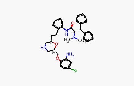 CN(C(=O)O)[C@H](C(=O)Nc1ccccc1CC[C@@H]1CNC[C@@H](COc2ccc(Br)cc2N)O1)C(c1ccccc1)c1ccccc1